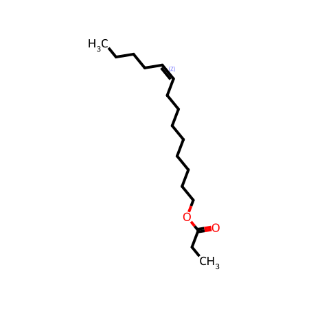 CCCC/C=C\CCCCCCCCOC(=O)CC